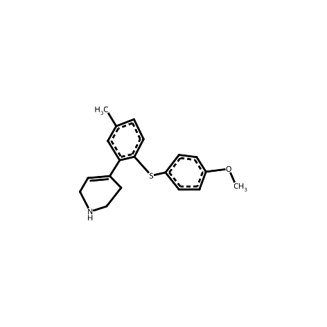 COc1ccc(Sc2ccc(C)cc2C2=CCNCC2)cc1